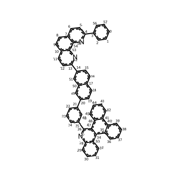 c1ccc(-c2ccc3ccc4ccc(-c5ccc6ccc(-c7cccc(-c8nc9ccccc9c9c%10ccccc%10c%10ccccc%10c89)c7)cc6c5)nc4c3n2)cc1